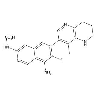 Cc1c(-c2cc3cc(NC(=O)O)ncc3c(N)c2F)cnc2c1NCCC2